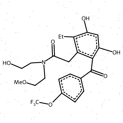 CCc1c(O)cc(O)c(C(=O)c2ccc(OC(F)(F)F)cc2)c1CC(=O)N(CCO)CCOC